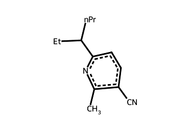 CCCC(CC)c1ccc(C#N)c(C)n1